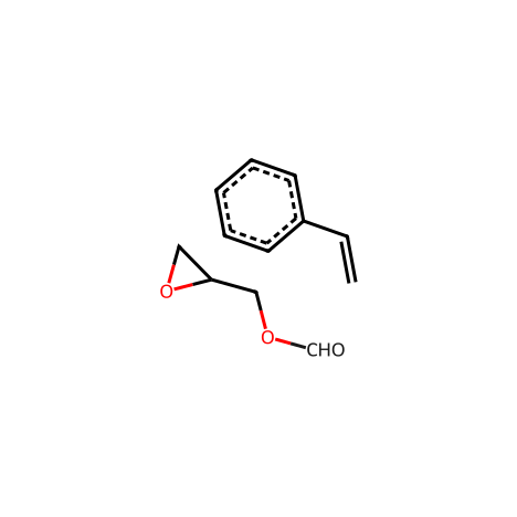 C=Cc1ccccc1.O=COCC1CO1